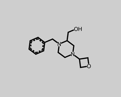 OCC1CN(C2COC2)CCN1Cc1ccccc1